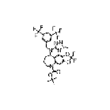 Cn1nnc(N(Cc2cc(C(F)(F)F)cc(C(F)(F)F)c2)C2CCCN(C(=O)OC(C)(C)C)c3cc4c(cc32)OC(F)(F)O4)n1